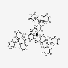 c1ccc(-c2c3ccccc3c(-c3cc4c5c(c3)Oc3cc(N(c6ccccc6)c6ccccc6)ccc3B5c3ccc(N(c5ccccc5)c5ccccc5)cc3O4)c3ccccc23)cc1